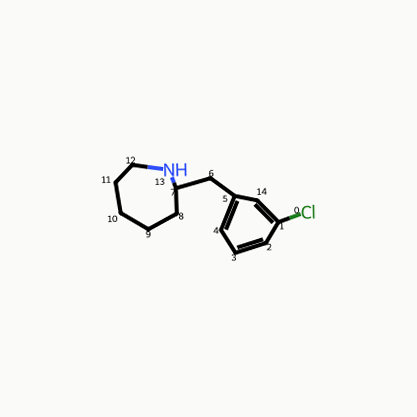 Clc1cccc(CC2CCCCCN2)c1